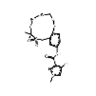 Cn1cc(Cl)c(C(=O)Nc2ccc3c(c2)CS(=O)(=O)C(C)(C)CNCNCCC3)n1